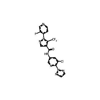 O=C(Nc1cnc(-n2nccn2)c(Cl)c1)c1cnn(-c2ccncc2F)c1C(F)(F)F